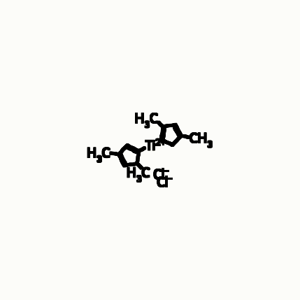 CC1=CC(C)[C]([Ti+2][C]2=C(C)C=C(C)C2)=C1.[Cl-].[Cl-]